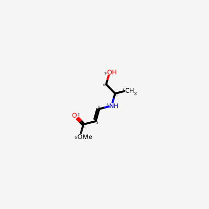 COC(=O)C=CNC(C)CO